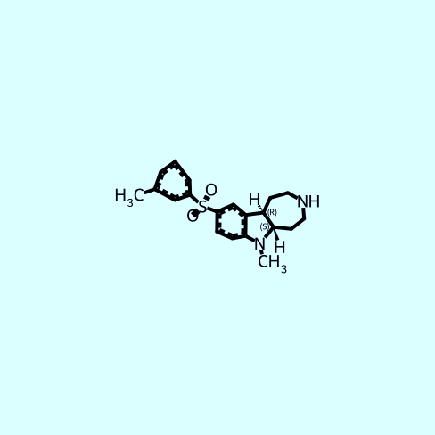 Cc1cccc(S(=O)(=O)c2ccc3c(c2)[C@H]2CCNCC[C@@H]2N3C)c1